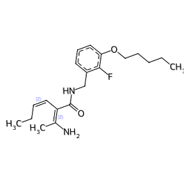 CC/C=C\C(C(=O)NCc1cccc(OCCCCC)c1F)=C(/C)N